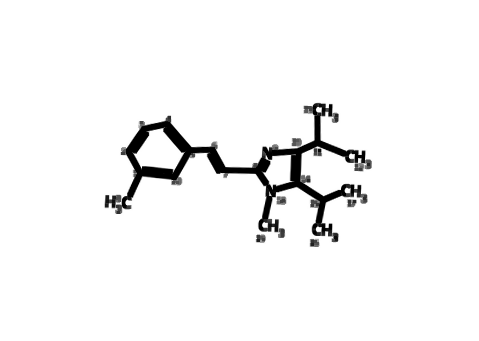 Cc1cccc(C=Cc2nc(C(C)C)c(C(C)C)n2C)c1